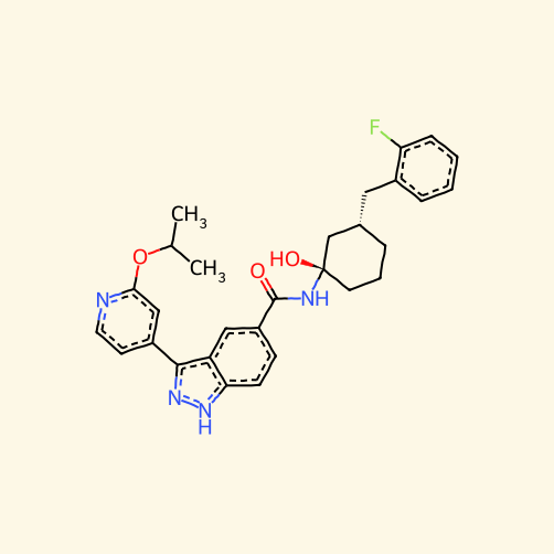 CC(C)Oc1cc(-c2n[nH]c3ccc(C(=O)N[C@@]4(O)CCC[C@@H](Cc5ccccc5F)C4)cc23)ccn1